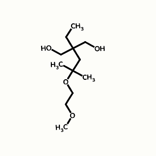 CCC(CO)(CO)CC(C)(C)OCCOC